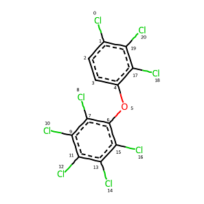 Clc1ccc(Oc2c(Cl)c(Cl)c(Cl)c(Cl)c2Cl)c(Cl)c1Cl